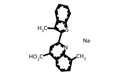 Cc1c(-c2cc(C(=O)O)c3cccc(C)c3n2)sc2ccccc12.[Na]